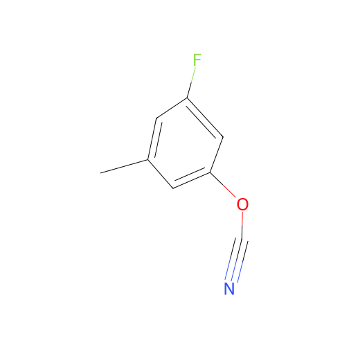 Cc1cc(F)cc(OC#N)c1